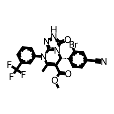 COC(=O)C1=C(C)N(c2cccc(C(F)(F)F)c2)c2n[nH]c(=O)n2[C@@H]1c1ccc(C#N)cc1Br